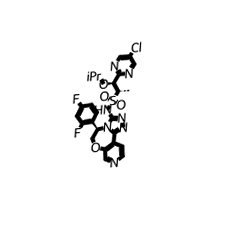 CC(C)O[C@@H](c1ncc(Cl)cn1)[C@H](C)S(=O)(=O)Nc1nnc2n1[C@H](c1ccc(F)cc1F)COc1cnccc1-2